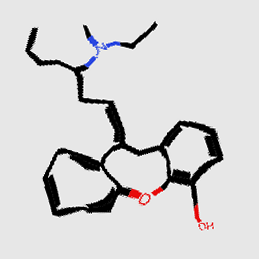 CCC(C/C=C1\c2ccccc2Oc2c(O)cccc21)N(C)CC